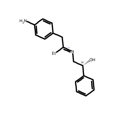 CC/C(Cc1ccc(N)cc1)=N\C[C@H](O)c1ccccc1